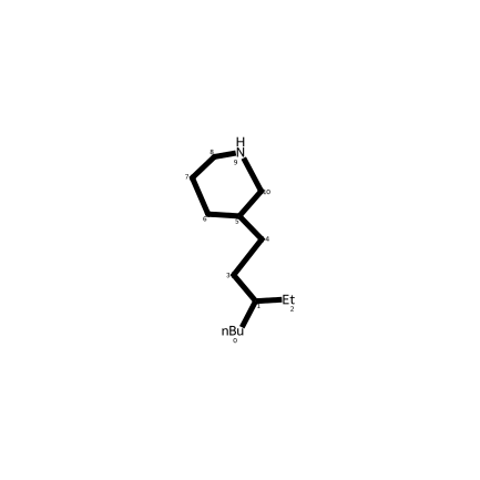 CCCCC(CC)CCC1CCCNC1